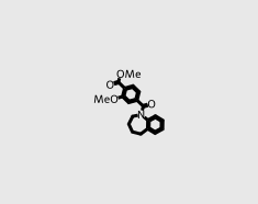 COC(=O)c1ccc(C(=O)N2CCCCc3ccccc32)cc1OC